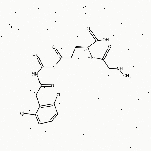 CNCC(=O)N[C@@H](CCC(=O)NC(=N)NC(=O)Cc1c(Cl)cccc1Cl)C(=O)O